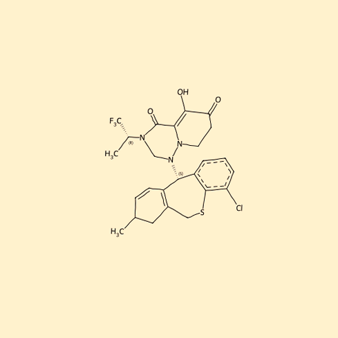 CC1C=CC2=C(CSc3c(Cl)cccc3[C@H]2N2CN([C@H](C)C(F)(F)F)C(=O)C3=C(O)C(=O)CCN32)C1